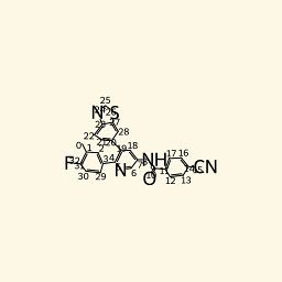 Cc1cc(-c2ncc(NC(=O)c3ccc(C#N)cc3)cc2-c2ccc3ncsc3c2)ccc1F